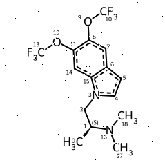 C[C@@H](Cn1ccc2cc(OC(F)(F)F)c(OC(F)(F)F)cc21)N(C)C